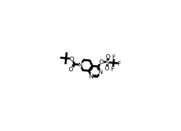 CC(C)(C)OC(=O)N1CCc2c(ncnc2OS(=O)(=O)C(F)(F)F)C1